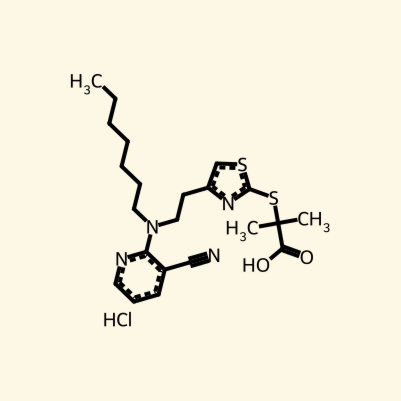 CCCCCCCN(CCc1csc(SC(C)(C)C(=O)O)n1)c1ncccc1C#N.Cl